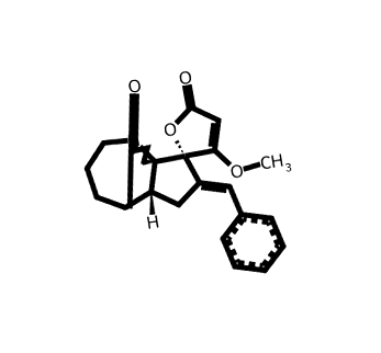 COC1=CC(=O)O[C@@]12/C(=C/c1ccccc1)C[C@@H]1CCCCN3C(=O)CC[C@@]132